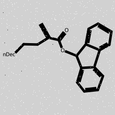 C=C(CCCCCCCCCCCC)C(=O)OC1c2ccccc2-c2ccccc21